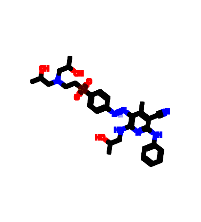 Cc1c(C#N)c(Nc2ccccc2)nc(NCC(C)O)c1/N=N/c1ccc(S(=O)(=O)CCN(CC(C)O)CC(C)O)cc1